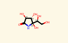 O=C1N[C@@](O)([C@@H](O)CO)[C@@H](O)[C@@H]1O